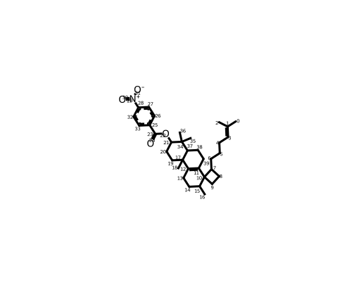 CC(C)=CCCCC1CCC12C1=C(CCC2C)C2(C)CCC(OC(=O)c3ccc([N+](=O)[O-])cc3)C(C)(C)C2CC1